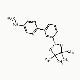 CC1(C)OB(c2cccc(-c3ncc(NC(=O)O)cn3)c2)OC1(C)C